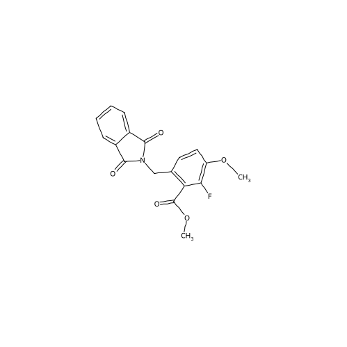 COC(=O)c1c(CN2C(=O)c3ccccc3C2=O)ccc(OC)c1F